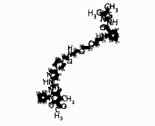 CC(=O)c1c(C)c2cnc(Nc3ccc(N4CCN(CC(=O)NCCOCCOCCCNc5ccccc5C(=O)Nc5nc(C)c(C)s5)CC4)cn3)nc2n(C2CCCC2)c1=O